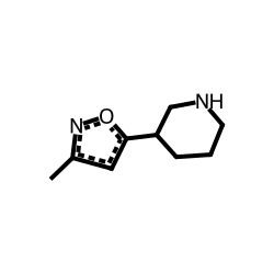 Cc1cc(C2CCCNC2)on1